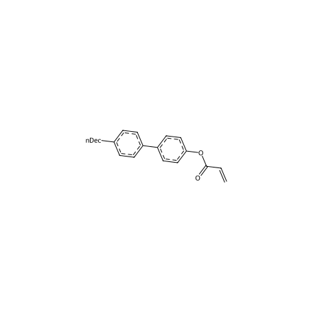 C=CC(=O)Oc1ccc(-c2ccc(CCCCCCCCCC)cc2)cc1